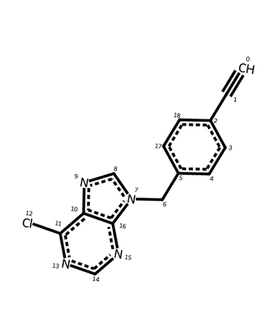 C#Cc1ccc(Cn2cnc3c(Cl)ncnc32)cc1